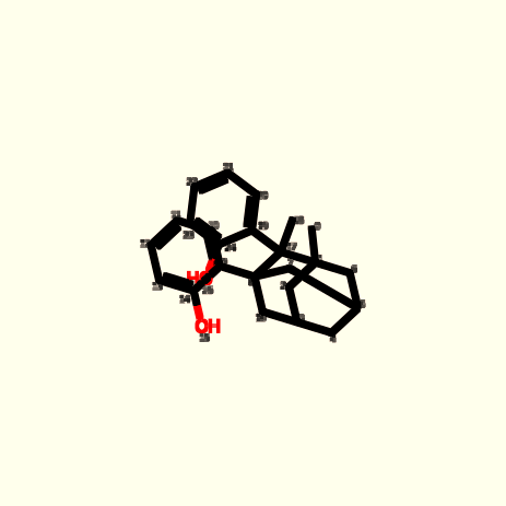 CC12CC3CC(C1)CC(c1ccccc1O)(C3)C2(C)c1ccccc1O